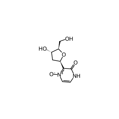 O=c1[nH]cc[n+]([O-])c1[C@H]1C[C@H](O)[C@@H](CO)O1